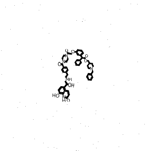 O=C(OCC1CCN(Cc2ccccc2)CC1)C(c1ccccc1)c1cccc(OCC(=O)N2CCN(C(=O)c3ccc(CCNCC(O)c4ccc(O)c5[nH]c(=O)ccc45)cc3)CC2)c1